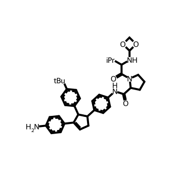 CC(C)C(NC1OCO1)C(=O)N1CCCC1C(=O)Nc1ccc(C2CC=C(c3ccc(N)cc3)C2c2ccc(C(C)(C)C)cc2)cc1